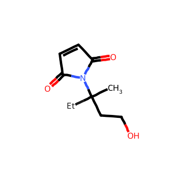 CCC(C)(CCO)N1C(=O)C=CC1=O